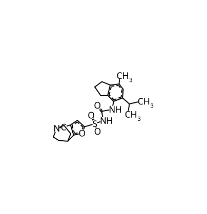 Cc1cc(C(C)C)c(NC(=O)NS(=O)(=O)c2cc3c(o2)C2CCN(CC2)C3)c2c1CCC2